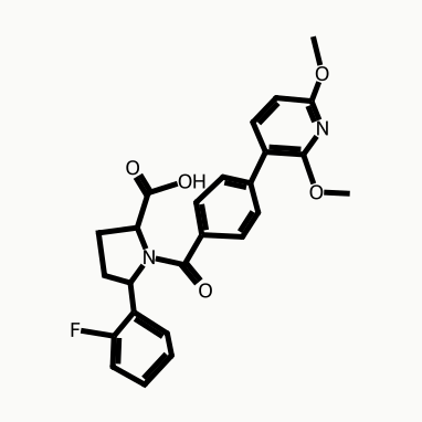 COc1ccc(-c2ccc(C(=O)N3C(C(=O)O)CCC3c3ccccc3F)cc2)c(OC)n1